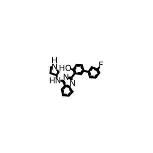 Oc1ccc(-c2cccc(F)c2)cc1-c1nc(N[C@H]2CCNC2)c2ccccc2n1